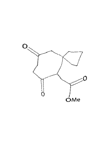 COC(=O)C1C(=O)CC(=O)CC12CCC2